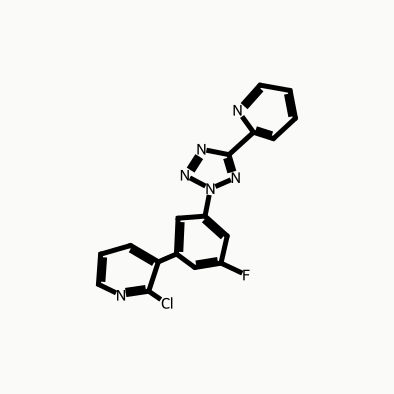 Fc1cc(-c2cccnc2Cl)cc(-n2nnc(-c3ccccn3)n2)c1